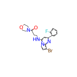 O=C(CCNc1cc(-c2ccccc2F)nc2c(Br)ccn12)N1CCOCC1